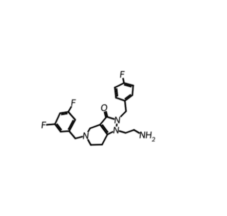 NCCn1c2c(c(=O)n1Cc1ccc(F)cc1)CN(Cc1cc(F)cc(F)c1)CC2